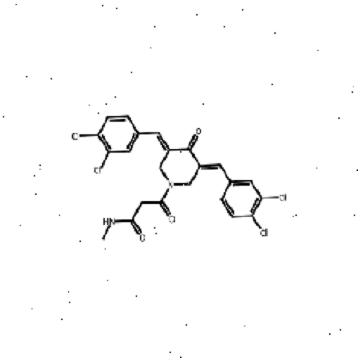 CNC(=O)CC(=O)N1C/C(=C\c2ccc(Cl)c(Cl)c2)C(=O)/C(=C/c2ccc(Cl)c(Cl)c2)C1